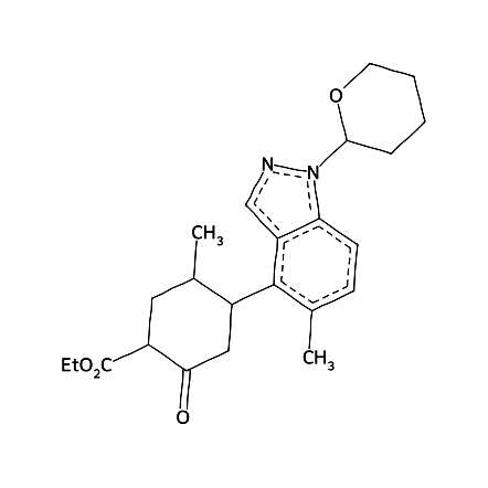 CCOC(=O)C1CC(C)C(c2c(C)ccc3c2cnn3C2CCCCO2)CC1=O